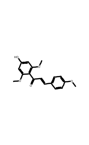 COc1ccc(C=CC(=O)c2c(OC)cc(O)cc2OC)cc1